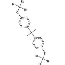 CCC(Br)(Br)Oc1ccc(C(C)(C)c2ccc(OC(Br)(Br)CC)cc2)cc1